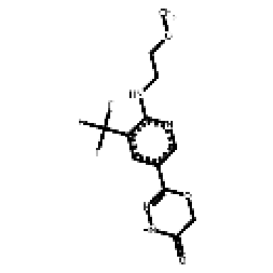 COCCNc1ncc(C2=NNC(=O)CO2)cc1C(F)(F)F